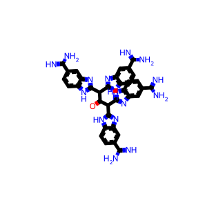 N=C(N)c1ccc2[nH]c(C(C(=O)C(c3nc4cc(C(=N)N)ccc4[nH]3)c3nc4cc(C(=N)N)ccc4[nH]3)c3nc4cc(C(=N)N)ccc4[nH]3)nc2c1